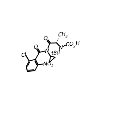 C[C@@H](C(=O)N(C(=O)c1c(Cl)cccc1[N+](=O)[O-])C1CC1)N(C(=O)O)C(C)(C)C